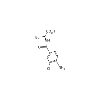 CC[C@H](C)C(NC(=O)c1ccc(N)c(Cl)c1)C(=O)O